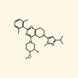 COC1CCN(c2nc(-c3c(C)cccc3C)nc3c2CN(c2cc(C(C)C)nn2C)CC3)C[C@H]1C